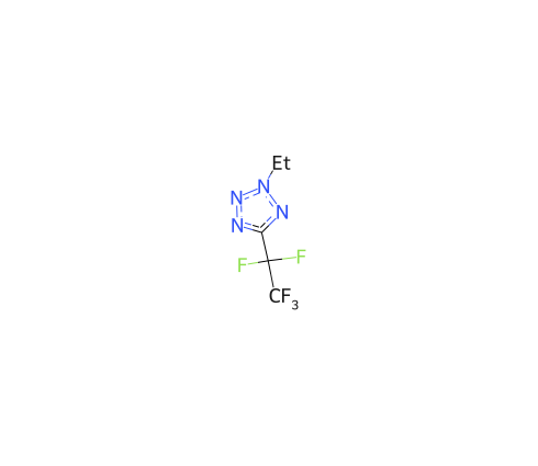 CCn1nnc(C(F)(F)C(F)(F)F)n1